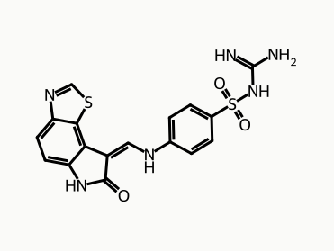 N=C(N)NS(=O)(=O)c1ccc(N/C=C2\C(=O)Nc3ccc4ncsc4c32)cc1